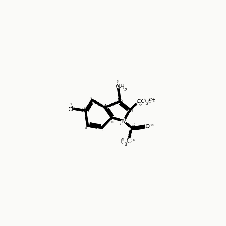 CCOC(=O)c1c(N)c2cc(Cl)ccc2n1C(=O)C(F)(F)F